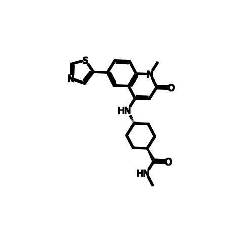 CNC(=O)[C@H]1CC[C@H](Nc2cc(=O)n(C)c3ccc(-c4cncs4)cc23)CC1